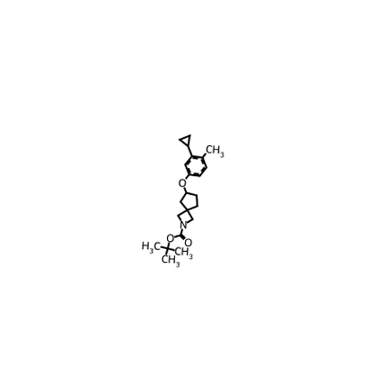 Cc1ccc(OC2CCC3(C2)CN(C(=O)OC(C)(C)C)C3)cc1C1CC1